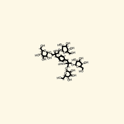 CCCCCCC(CO[C@@H]1OC(CO)[C@@H](O)C(O)C1O)(CO[C@@H]1OC(CO)[C@@H](O)C(O)C1O)Cc1ccc(CC(CCCCCC)(CO[C@@H]2OC(CO)[C@@H](O)C(O)C2O)CO[C@@H]2OC(CO)[C@@H](O)C(O)C2O)cc1